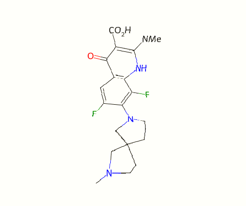 CNc1[nH]c2c(F)c(N3CCC4(CCN(C)C4)C3)c(F)cc2c(=O)c1C(=O)O